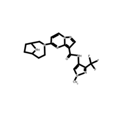 Cn1cc(NC(=O)c2cnn3ccc(N4CCC5CCC(C4)N5)nc23)c(C(F)(F)F)n1